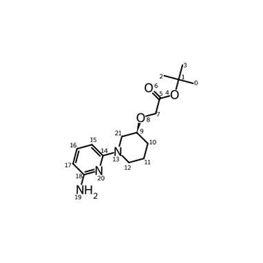 CC(C)(C)OC(=O)CO[C@H]1CCCN(c2cccc(N)n2)C1